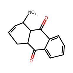 O=C1c2ccccc2C(=O)C2C1CC=CC2[N+](=O)[O-]